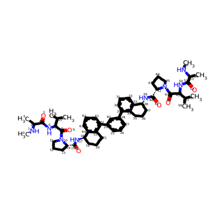 CNC(C)C(=O)NC(C(=O)N1CCC[C@H]1C(=O)N[C@@H]1CCCc2c(-c3cccc(-c4cccc5c4CCC[C@H]5NC(=O)[C@@H]4CCCN4C(=O)C(NC(=O)C(C)NC)C(C)C)c3)cccc21)C(C)C